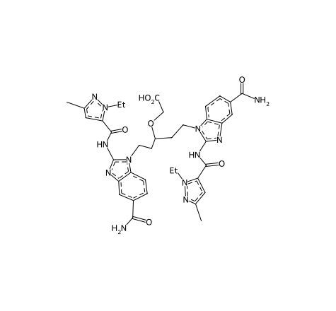 CCn1nc(C)cc1C(=O)Nc1nc2cc(C(N)=O)ccc2n1CCC(CCn1c(NC(=O)c2cc(C)nn2CC)nc2cc(C(N)=O)ccc21)OCC(=O)O